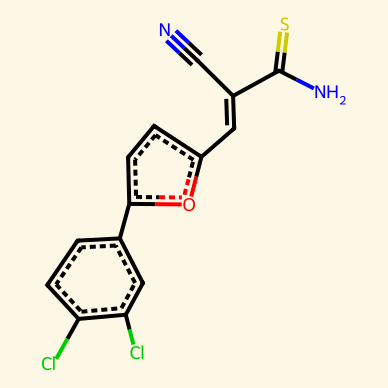 N#C/C(=C\c1ccc(-c2ccc(Cl)c(Cl)c2)o1)C(N)=S